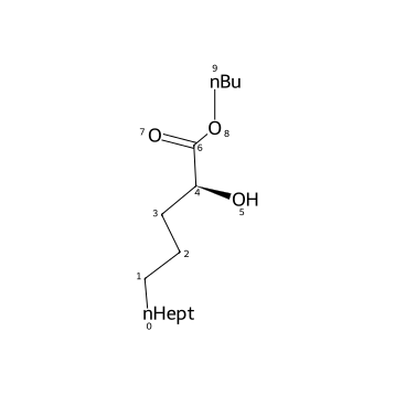 CCCCCCCCCC[C@H](O)C(=O)OCCCC